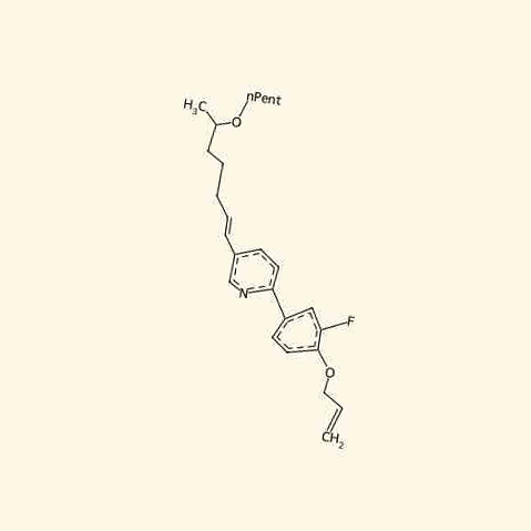 C=CCOc1ccc(-c2ccc(C=CCCCC(C)OCCCCC)cn2)cc1F